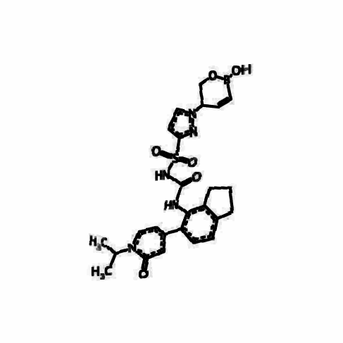 CC(C)n1ccc(-c2ccc3c(c2NC(=O)NS(=O)(=O)c2ccn(C4C=CB(O)OC4)n2)CCC3)cc1=O